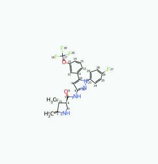 C=C1NC[C@H](C(=O)Nc2cc(-c3cccc(OC(F)(F)F)c3)n(-c3ccc(F)cc3)n2)[C@H]1C